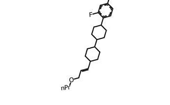 CCCOCC=CC1CCC(C2CCC(c3ccc(C#N)cc3F)CC2)CC1